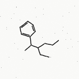 [CH2]CC(CCC)C(C)c1ccccc1